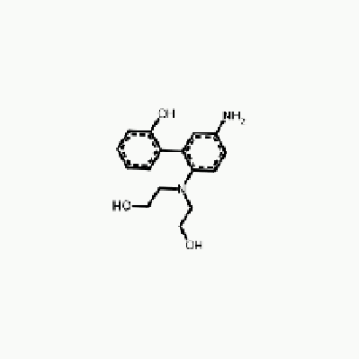 Nc1ccc(N(CCO)CCO)c(-c2ccccc2O)c1